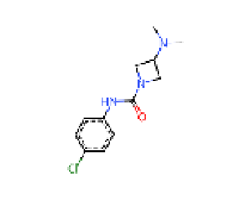 CN(C)C1CN(C(=O)Nc2ccc(Cl)cc2)C1